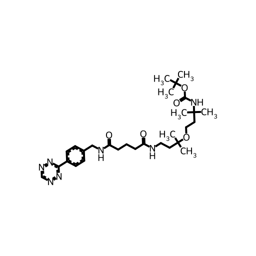 CC(C)(CCOC(C)(C)CCNC(=O)CCCC(=O)NCc1ccc(-c2nncnn2)cc1)NC(=O)OC(C)(C)C